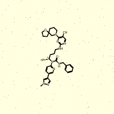 CCC[C@@H](CCCNc1ncc(C#N)c(N2CCCC3(CCCO3)C2)n1)N(C(=O)NCc1ccccc1)c1ccc(-c2cnn(C)c2)cn1